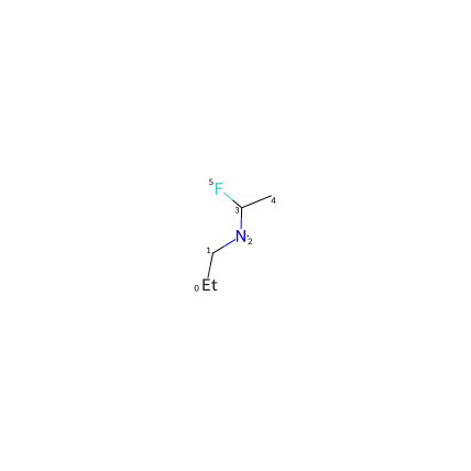 CCC[N]C(C)F